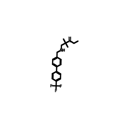 CCNC(C)(C)CNCc1ccc(-c2ccc(C(F)(F)F)cc2)cc1